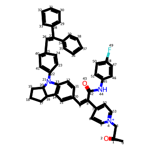 CC(=O)C[n+]1ccc(/C(=C/c2ccc3c(c2)C2CCCC2N3c2ccc(C=C(c3ccccc3)c3ccccc3)cc2)C(=O)Nc2ccc(F)cc2)cc1